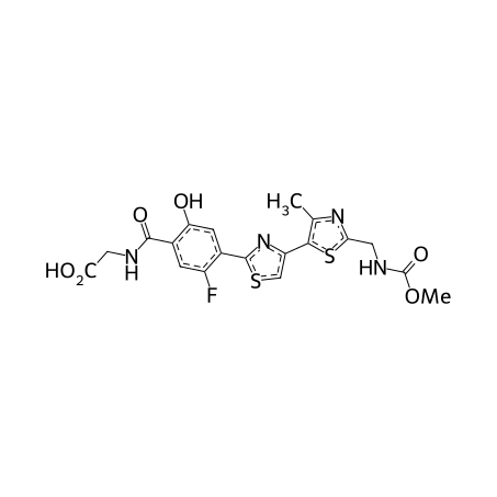 COC(=O)NCc1nc(C)c(-c2csc(-c3cc(O)c(C(=O)NCC(=O)O)cc3F)n2)s1